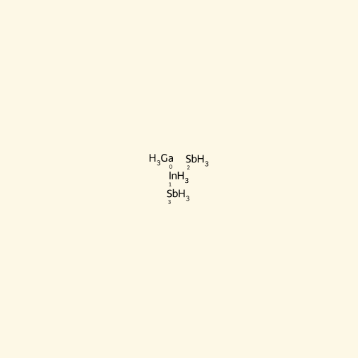 [GaH3].[InH3].[SbH3].[SbH3]